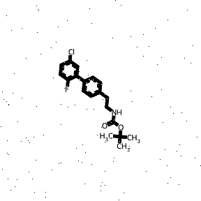 CC(C)(C)OC(=O)NCCc1ccc(-c2cc(Cl)ccc2F)cc1